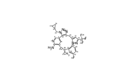 C[C@H]1Oc2cc(cnc2N)-c2c(nnn2CC2CC2)Cc2cc(C(F)(F)F)nn2-c2ccc(F)cc21